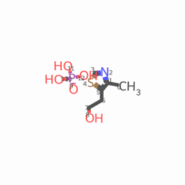 Cc1ncsc1CCO.O=P(O)(O)O